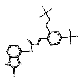 O=C(/C=C/c1ccc(C(F)(F)F)nc1OCC(F)(F)F)Nc1cccc2[nH]c(=O)[nH]c12